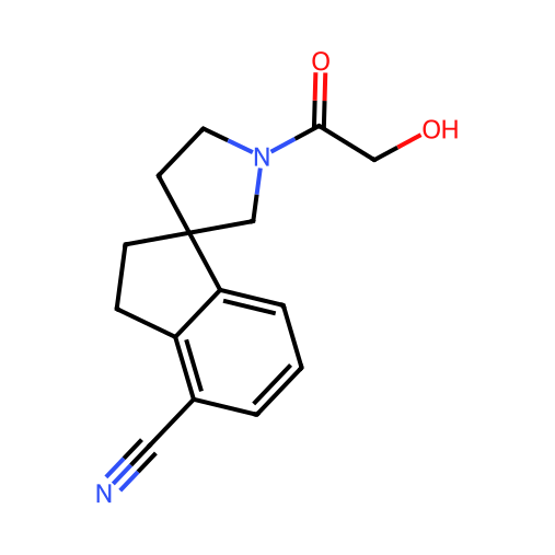 N#Cc1cccc2c1CCC21CCN(C(=O)CO)C1